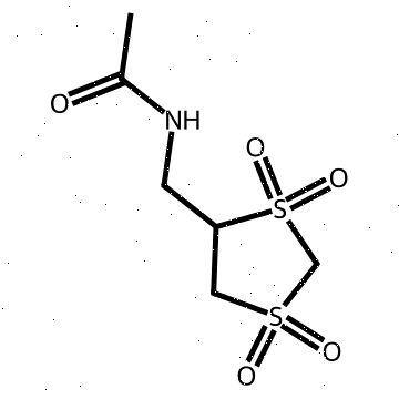 CC(=O)NCC1CS(=O)(=O)CS1(=O)=O